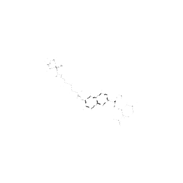 CC1CCC(C(C)C)C(OC(=O)c2ccc3cc(OCCCCOCC4(C)COC4)ccc3c2)C1